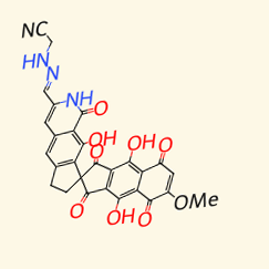 COC1=CC(=O)c2c(O)c3c(c(O)c2C1=O)C(=O)C1(CCc2cc4cc(C=NNCC#N)[nH]c(=O)c4c(O)c21)C3=O